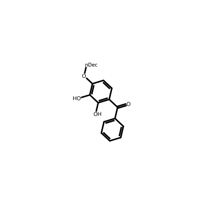 CCCCCCCCCCOc1ccc(C(=O)c2ccccc2)c(O)c1O